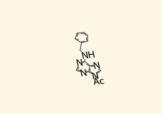 CC(=O)n1cnc2c(NCc3ccccc3)ncnc21